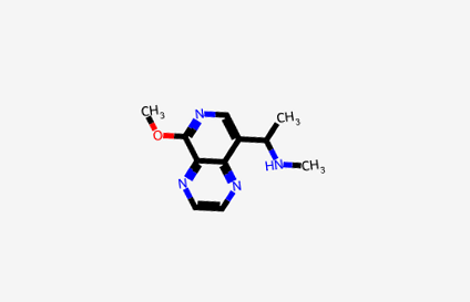 CNC(C)c1cnc(OC)c2nccnc12